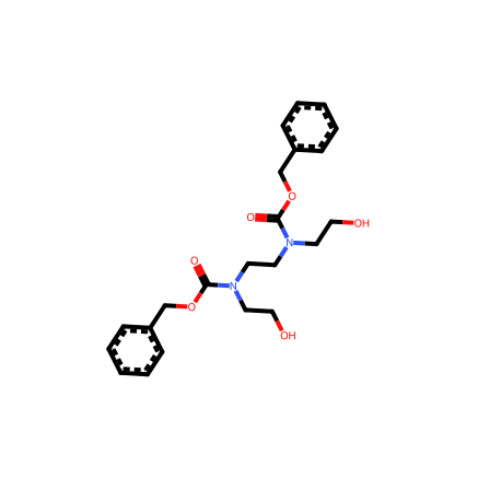 O=C(OCc1ccccc1)N(CCO)CCN(CCO)C(=O)OCc1ccccc1